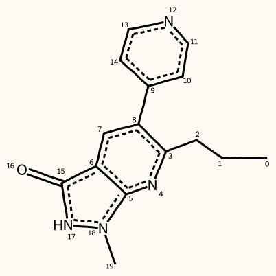 CCCc1nc2c(cc1-c1ccncc1)c(=O)[nH]n2C